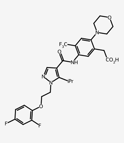 CC(C)c1c(C(=O)Nc2cc(CC(=O)O)c(N3CCOCC3)cc2C(F)(F)F)cnn1CCOc1ccc(F)cc1F